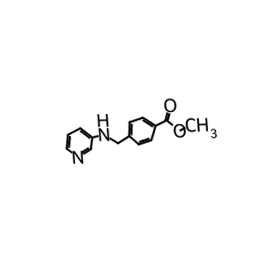 COC(=O)c1ccc(CNc2cccnc2)cc1